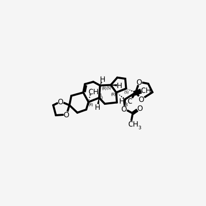 C#CC(OC(C)=O)[C@]12CC[C@H]3[C@@H](CC=C4CC5(CC[C@@]43C)OCCO5)[C@@H]1CC[C@@H]2C1(C)OCCO1